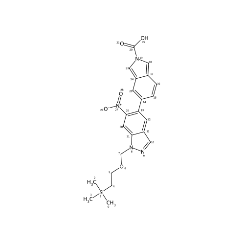 C[Si](C)(C)CCOCn1ncc2cc(-c3ccc4cn(C(=O)O)cc4c3)c([N+](=O)[O-])cc21